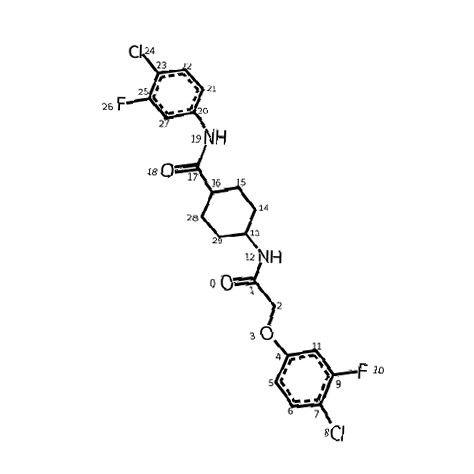 O=C(COc1ccc(Cl)c(F)c1)NC1CCC(C(=O)Nc2ccc(Cl)c(F)c2)CC1